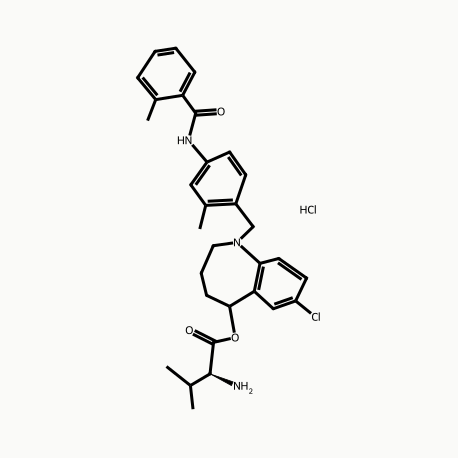 Cc1cc(NC(=O)c2ccccc2C)ccc1CN1CCCC(OC(=O)[C@@H](N)C(C)C)c2cc(Cl)ccc21.Cl